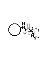 CC(C)N=NC(C)(C)NC(=O)NC1CCCCCCCCCCC1